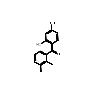 Cc1cccc(C(=O)c2ccc(O)cc2O)c1C